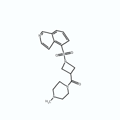 CN1CCN(C(=O)C2CN(S(=O)(=O)c3cccc4cnccc34)C2)CC1